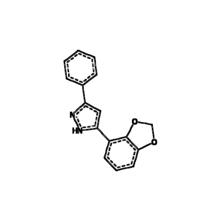 c1ccc(-c2cc(-c3cccc4c3OCO4)[nH]n2)cc1